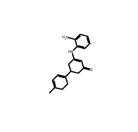 CC1=CC=C(C2CC(=O)C=C(Nc3ccccc3N)C2)CC1